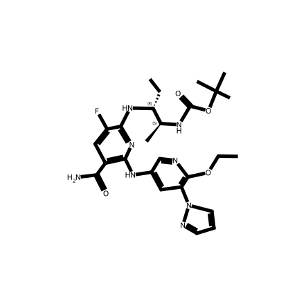 CCOc1ncc(Nc2nc(N[C@H](CC)[C@H](C)NC(=O)OC(C)(C)C)c(F)cc2C(N)=O)cc1-n1cccn1